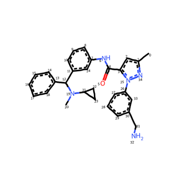 Cc1cc(C(=O)Nc2cccc(C(c3ccccc3)N(C)C3CC3)c2)n(-c2cccc(CN)c2)n1